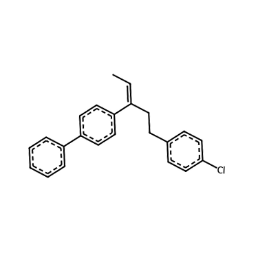 C/C=C(/CCc1ccc(Cl)cc1)c1ccc(-c2ccccc2)cc1